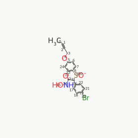 CC#CCOc1ccc([S+]([O-])[C@@H](C(=O)NO)c2ccc(Br)cc2)cc1